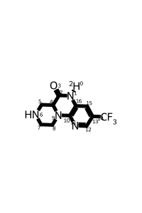 [2H]N1C(=O)C2CNCCN2c2ncc(C(F)(F)F)cc21